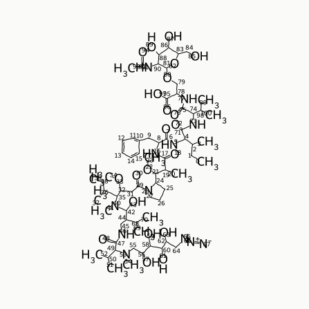 CCC(C)C(NC(=O)C(Cc1ccccc1)NC(=O)C(C)C(OC)C1CCCN1C(=O)CC(OC)C(C(C)CC)N(C)C(O)C(CNC(=O)C(C(C)C)N(C)CC(O)C(O)C(O)C(O)CN=[N+]=[N-])C(C)C)C(=O)NC(C(=O)NC(COC1OC(CO)C(O)C(O)C1NC(C)=O)C(=O)O)C(C)C